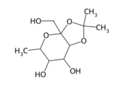 CC1OC2(CO)OC(C)(C)OC2C(O)C1O